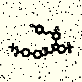 CC(C)(C)OC(=O)N1CCC(C2CCN(C[C@H](O)Cn3nc(-c4ccc(Cl)c(CCc5ccc(Cl)cc5)c4)c4c3CCN(S(C)(=O)=O)C4)CC2)CC1